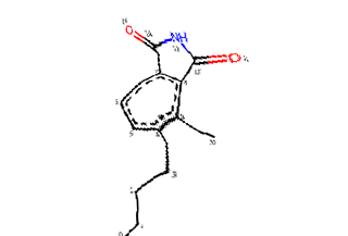 CCCCc1ccc2c(c1C)C(=O)NC2=O